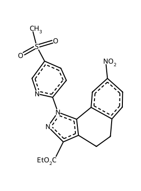 CCOC(=O)c1nn(-c2ccc(S(C)(=O)=O)cn2)c2c1CCc1ccc([N+](=O)[O-])cc1-2